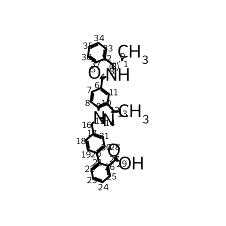 CC[C@H](NC(=O)c1ccc2c(c1)c(C)nn2Cc1ccc(-c2ccccc2C(=O)O)cc1)c1ccccc1